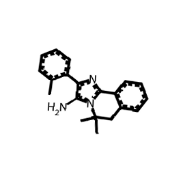 Cc1ccccc1-c1nc2n(c1N)C(C)(C)Cc1ccccc1-2